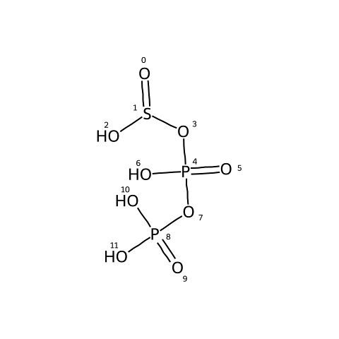 O=S(O)OP(=O)(O)OP(=O)(O)O